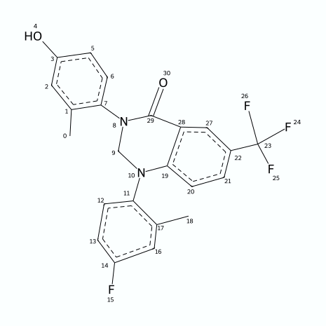 Cc1cc(O)ccc1N1CN(c2ccc(F)cc2C)c2ccc(C(F)(F)F)cc2C1=O